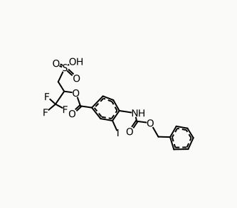 O=C(Nc1ccc(C(=O)OC(CS(=O)(=O)O)C(F)(F)F)cc1I)OCc1ccccc1